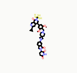 COc1cc(-c2cn(C(S)(S)S)c(=O)c3cnc(C4CC4)cc23)cc(OC)c1CN1CCC2(CC1)CN(c1ccc3c(c1)C(=O)N(C1CCC(=O)NC1=O)C3)C2